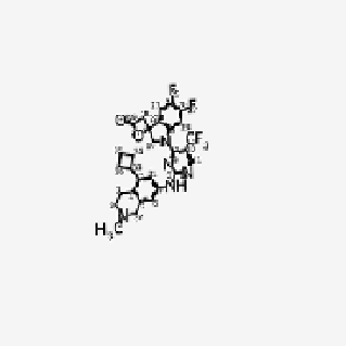 CN1CCc2c(cc(Nc3ncc(C(F)(F)F)c(N4CC5(CC(=O)O5)c5cc(F)c(F)cc54)n3)cc2C2CCC2)C1